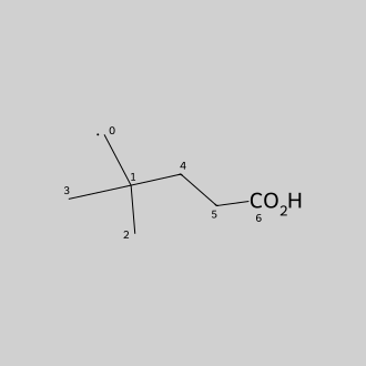 [CH2]C(C)(C)CCC(=O)O